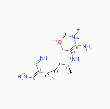 C[C@@H](CC1S[C@@H]1/C(C=N)=C/N)NC1=C(N)N(C)COC1